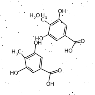 Cc1c(O)cc(C(=O)O)cc1O.Cc1c(O)cc(C(=O)O)cc1O.O